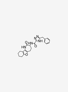 O=C(NC1CCc2oc3c(c2NC1=O)CCCC3)c1nnc(Cc2ccccc2)[nH]1